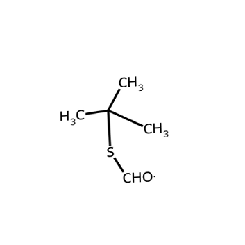 CC(C)(C)S[C]=O